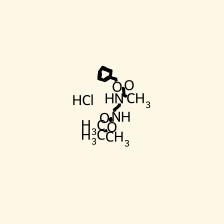 CC(NCCNC(=O)OC(C)(C)C)C(=O)OCc1ccccc1.Cl